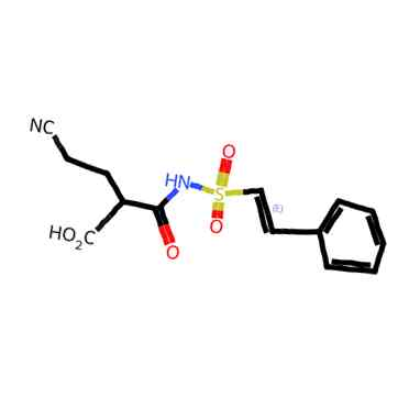 N#CCCC(C(=O)O)C(=O)NS(=O)(=O)/C=C/c1ccccc1